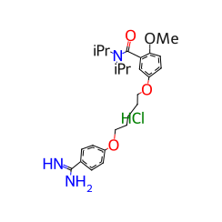 COc1ccc(OCCCCCOc2ccc(C(=N)N)cc2)cc1C(=O)N(C(C)C)C(C)C.Cl